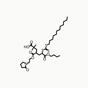 CCCCCCCCCCCCSC(=S)SC(CC(CC(C)(C)C(=O)O)C(=O)OCCN1CCCC1=O)C(=O)OCCCC